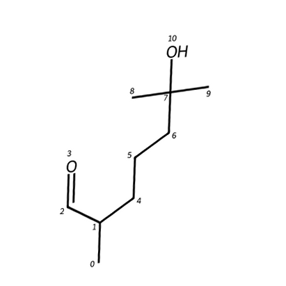 CC(C=O)CCCC(C)(C)O